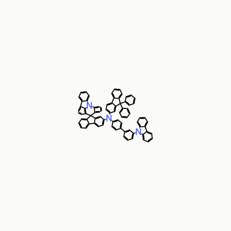 c1ccc(C2(c3ccccc3)c3ccccc3-c3ccc(N(c4ccc(-c5cccc(-n6c7ccccc7c7ccccc76)c5)cc4)c4ccc5c(c4)C4(c6ccccc6-5)c5ccccc5-n5c6ccccc6c6cccc4c65)cc32)cc1